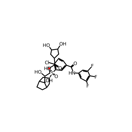 O=C(Nc1cc(F)c(F)c(F)c1)c1ccc(Cl)c(S(=O)(=O)[C@H]2CC3CCC(C2)[C@]3(O)C(O)CNC(=O)C2CC(O)C(O)C2)c1